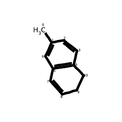 Cc1ccc2c(c1)C=CCC2